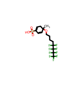 CC1(OCCCCC(F)(F)C(F)(F)C(F)(F)C(F)(F)F)C=CC(S(=O)(=O)O)=CC1